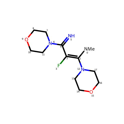 CN/C(=C(/F)C(=N)N1CCOCC1)N1CCOCC1